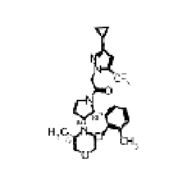 Cc1cccc([C@@H]2[C@H](N3CCOC[C@@H]3C)CCN2C(=O)Cn2nc(C3CC3)cc2C(F)(F)F)c1Cl